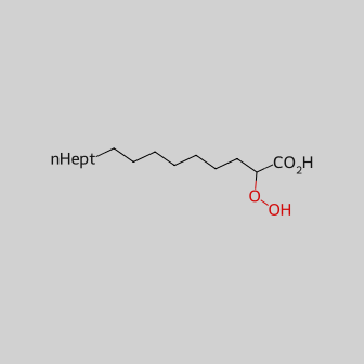 CCCCCCCCCCCCCCC(OO)C(=O)O